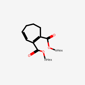 CCCCCCOC(=O)C1=C(C(=O)OCCCCCC)CCCC=C1